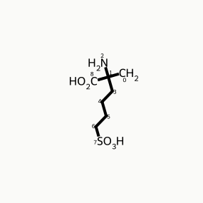 [CH2]C(N)(CCCCS(=O)(=O)O)C(=O)O